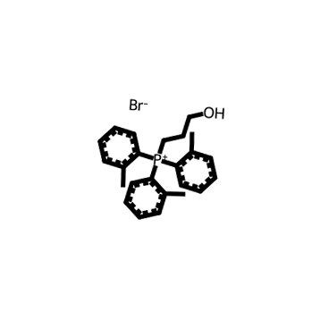 Cc1ccccc1[P+](CCCO)(c1ccccc1C)c1ccccc1C.[Br-]